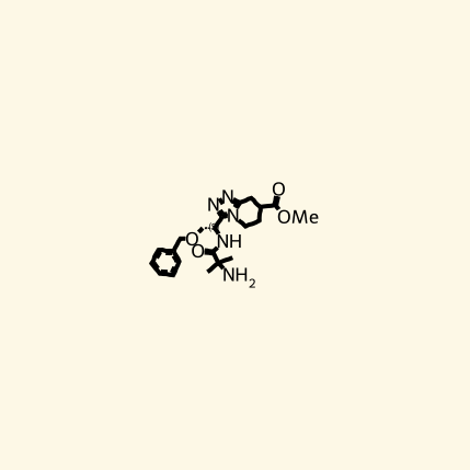 COC(=O)C1CCn2c(nnc2[C@@H](COCc2ccccc2)NC(=O)C(C)(C)N)C1